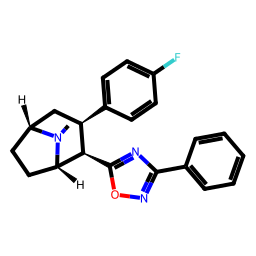 CN1[C@@H]2CC[C@H]1[C@H](c1nc(-c3ccccc3)no1)[C@H](c1ccc(F)cc1)C2